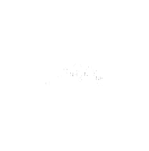 O=C1CCC(N2C(=O)c3cccc(NC(=O)COCCCl)c3C2=O)C(=O)N1